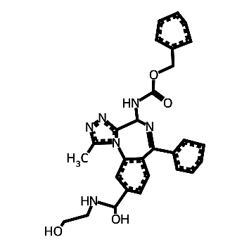 Cc1nnc2n1-c1cc(C(O)NCCO)ccc1C(c1ccccc1)=NC2NC(=O)OCc1ccccc1